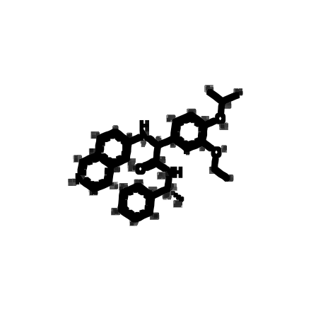 CCOc1cc(C(Nc2ccc3cnccc3c2)C(=O)N[C@H](C)c2ccccc2)ccc1OC(C)C